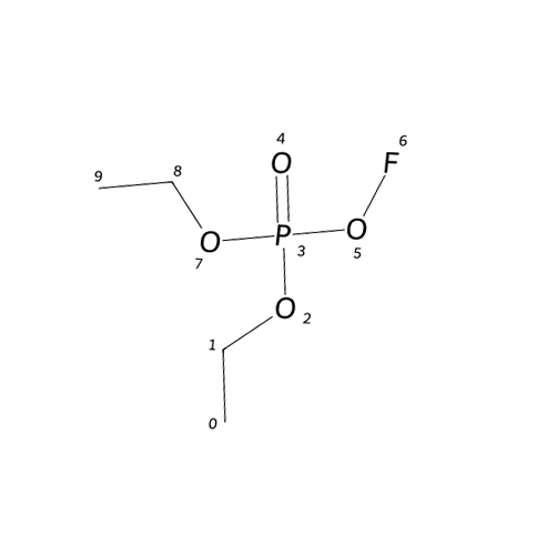 CCOP(=O)(OF)OCC